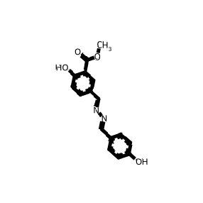 COC(=O)c1cc(/C=N/N=C/c2ccc(O)cc2)ccc1O